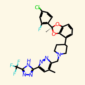 Cc1cc(-c2nnc(C(F)(F)F)[nH]2)nnc1CN1CCC(c2cccc3c2O[C@@](C)(c2ccc(Cl)cc2F)O3)CC1